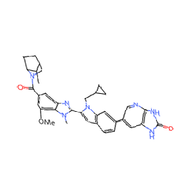 COc1cc(C(=O)N2CC3CCC2C3C)cc2nc(-c3cc4ccc(-c5cnc6[nH]c(=O)[nH]c6c5)cc4n3CC3CC3)n(C)c12